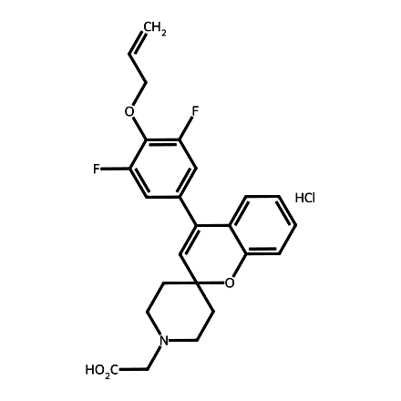 C=CCOc1c(F)cc(C2=CC3(CCN(CC(=O)O)CC3)Oc3ccccc32)cc1F.Cl